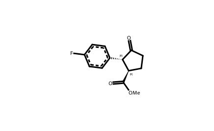 COC(=O)[C@@H]1CCC(=O)[C@H]1c1ccc(F)cc1